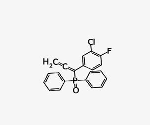 C=C=C(c1ccc(F)c(Cl)c1)P(=O)(c1ccccc1)c1ccccc1